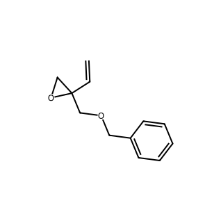 C=CC1(COCc2ccccc2)CO1